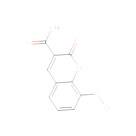 O=C(O)c1cc2cccc(SCl)c2oc1=O